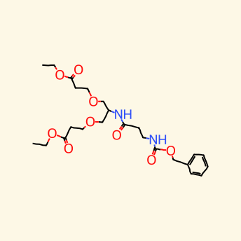 CCOC(=O)CCOCC(COCCC(=O)OCC)NC(=O)CCNC(=O)OCc1ccccc1